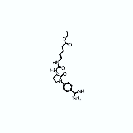 CCOC(=O)CCC=CNC(=O)N[C@H]1CCN(c2ccc(C(=N)N)cc2)C1=O